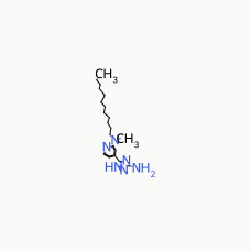 CCCCCCCCCCCCN(C)c1cc(-c2nc(N)n[nH]2)ccn1